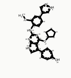 COc1cc(-c2cn[nH]c2)ccc1Nc1nc(OC2CCCC2)c2c(-c3ccc(O)cc3)c[nH]c2n1